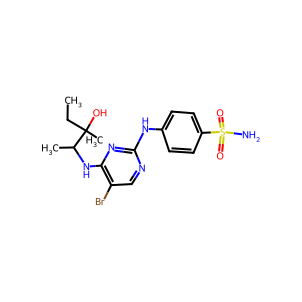 CCC(C)(O)C(C)Nc1nc(Nc2ccc(S(N)(=O)=O)cc2)ncc1Br